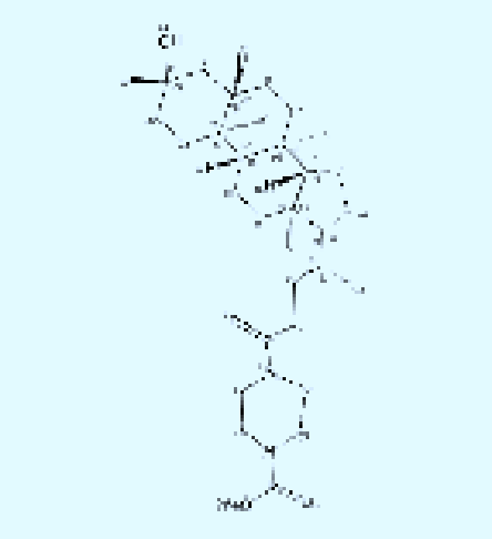 COC(=O)N1CCN(C(=O)CC[C@@H](C)[C@H]2CC[C@H]3[C@@H]4CC[C@H]5C[C@@](C)(O)CC[C@]5(C)[C@H]4CC[C@]23C)CC1